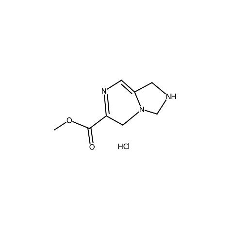 COC(=O)C1=NC=C2CNCN2C1.Cl